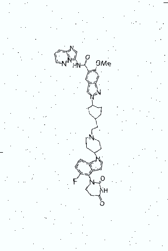 COc1cc2nn(C3CCC(CCN4CCC(n5ccc6c(N7CCC(=O)NC7=O)c(F)ccc65)CC4)CC3)cc2cc1C(=O)Nc1cnc2cccnn12